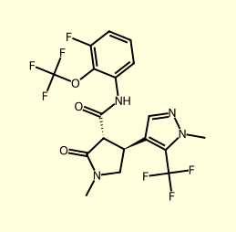 CN1C[C@H](c2cnn(C)c2C(F)(F)F)[C@@H](C(=O)Nc2cccc(F)c2OC(F)(F)F)C1=O